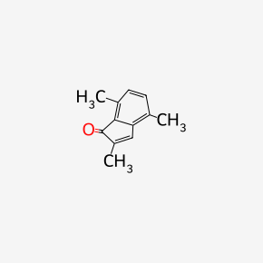 CC1=Cc2c(C)ccc(C)c2C1=O